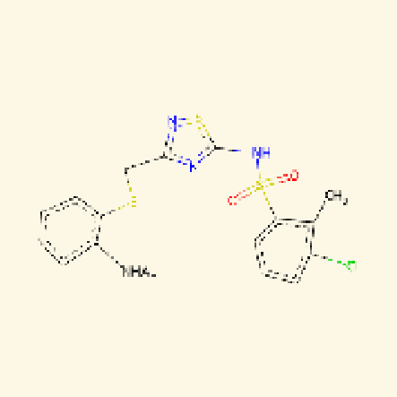 CC(=O)Nc1ccccc1SCc1nsc(NS(=O)(=O)c2cccc(Cl)c2C)n1